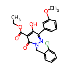 CCOC(=O)c1c(O)c(-c2cccc(OC)c2)nn(Cc2ccccc2Cl)c1=O